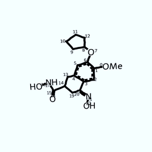 COc1cc2c(cc1OC1CCCC1)CC(C(=O)NO)CC2=NO